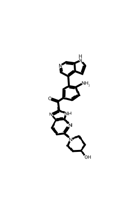 Nc1ccc(C(=O)c2nc3ccc(N4CCC(O)CC4)nc3[nH]2)cc1-c1cncc2[nH]ccc12